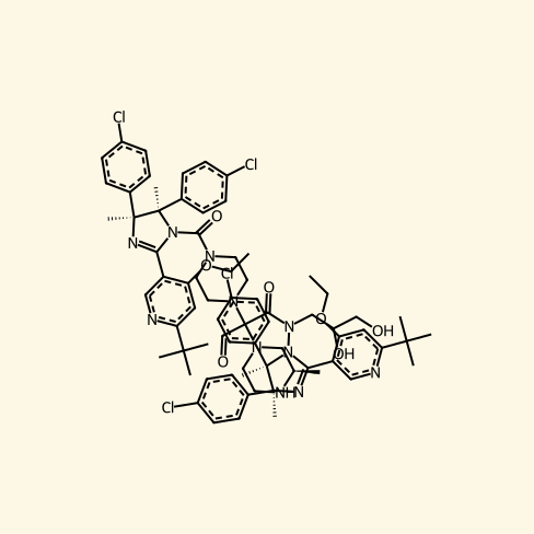 CCOc1cc(C(C)(C)C)ncc1C1=N[C@@](C)(c2ccc(Cl)cc2)[C@@](C)(c2ccc(Cl)cc2)N1C(=O)N1CCN(C(C=O)(C(=O)N(CC(O)CO)N2C(c3cnc(C(C)(C)C)cc3OCC)=N[C@@](C)(c3ccc(Cl)cc3)[C@@]2(C)c2ccc(Cl)cc2)N2CCN[C@H](C)C2)CC1